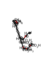 C=CC(C)c1ccccc1N(Cc1ccccc1C)C(=O)CCC(=O)NCCOCCOCCOCCOCCC(=O)NC(CCC(=O)NCCCCCC(=O)N[C@@H](CCC(=O)N[C@H](C)CCCOP(=O)(O)CC(CCC(=O)O)C(=O)O)C(=O)O)C(=O)NC(CCCCNC(=O)CCCc1ccc(I)cc1)C(=O)O